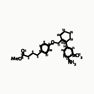 COC(=O)CCCc1ccc(OCC2=C(c3cnc(N)c(C(F)(F)F)c3)CCCC2)cc1